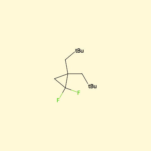 CC(C)(C)CC1(CC(C)(C)C)CC1(F)F